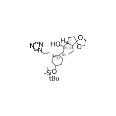 CC(C)(C)[Si](C)(C)OC1CC[C@](C)([C@H]2CC[C@@]3(C)[C@@H](CCC34OCCO4)[C@@H]2O)[C@@H](CCn2cncn2)C1